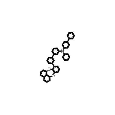 c1ccc(-c2ccc(N(c3ccccc3)c3cccc(-c4cccc(-c5cccc6c5Oc5cccc7cccc(c57)O6)c4)c3)cc2)cc1